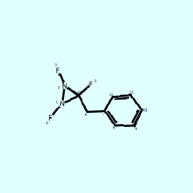 FN1N(F)C1(F)Cc1ccccc1